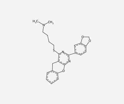 CN(C)CCCCSc1nc(-c2ccc3c(c2)OCO3)nc2c1Cc1ccccc1O2